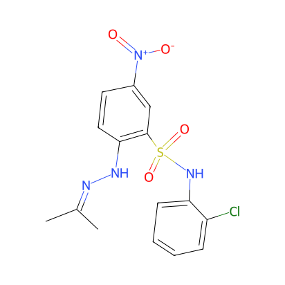 CC(C)=NNc1ccc([N+](=O)[O-])cc1S(=O)(=O)Nc1ccccc1Cl